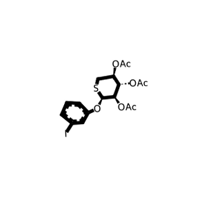 CC(=O)O[C@@H]1[C@@H](OC(C)=O)[C@@H](Oc2cccc(I)c2)SC[C@H]1OC(C)=O